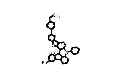 C=Cc1ccc(-c2ccc3oc4c5c(ccc4c3c2)N(c2ccccc2)c2cccc3c2C5(C)c2ccc(C(C)(C)C)cc2-3)cc1